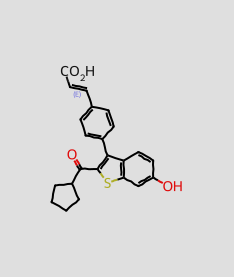 O=C(O)/C=C/c1ccc(-c2c(C(=O)C3CCCC3)sc3cc(O)ccc23)cc1